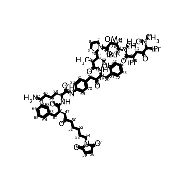 CC[C@H](C)[C@@H]([C@@H](CC(=O)N1CCC[C@H]1[C@H](CO)[C@@H](C)C(=O)N[C@@H](Cc1ccccc1)C(=O)Cc1ccc(NC(=O)[C@H](CCCCN)NC(=O)[C@@H](CC(=O)CCCCCN2C(=O)C=CC2=O)Cc2ccccc2)cc1)OC)N(C)C(=O)[C@@H](CC(=O)C(C(C)C)N(C)C)C(C)C